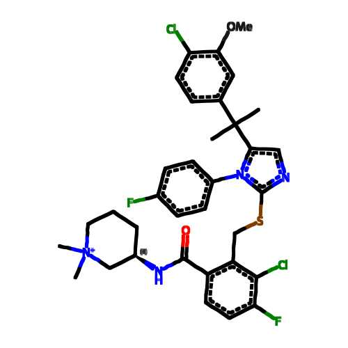 COc1cc(C(C)(C)c2cnc(SCc3c(C(=O)N[C@@H]4CCC[N+](C)(C)C4)ccc(F)c3Cl)n2-c2ccc(F)cc2)ccc1Cl